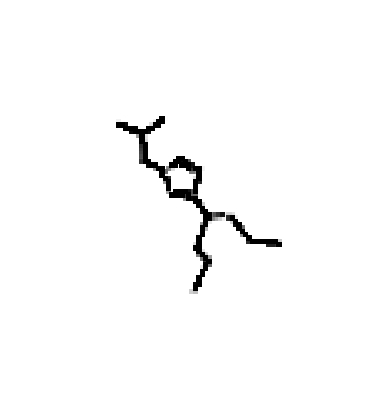 CCCC(CCC)c1ccn(CC(C)C)c1